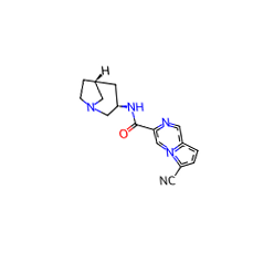 N#Cc1ccc2cnc(C(=O)N[C@@H]3C[C@H]4CCN(C4)C3)cn12